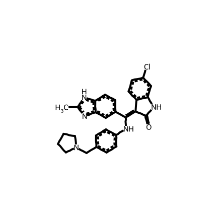 Cc1nc2cc(/C(Nc3ccc(CN4CCCC4)cc3)=C3/C(=O)Nc4cc(Cl)ccc43)ccc2[nH]1